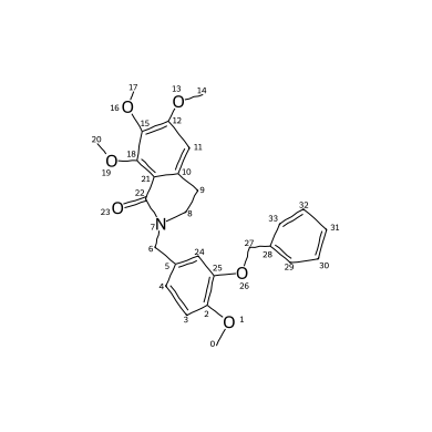 COc1ccc(CN2CCc3cc(OC)c(OC)c(OC)c3C2=O)cc1OCc1ccccc1